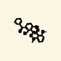 COc1cccc(OC)c1C(=O)[PH](=O)c1c(Br)ccc(C(=O)c2ccccc2)c1Br